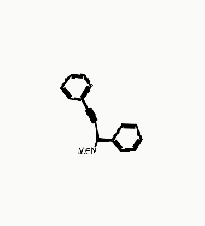 CNC(C#Cc1ccccc1)c1ccccc1